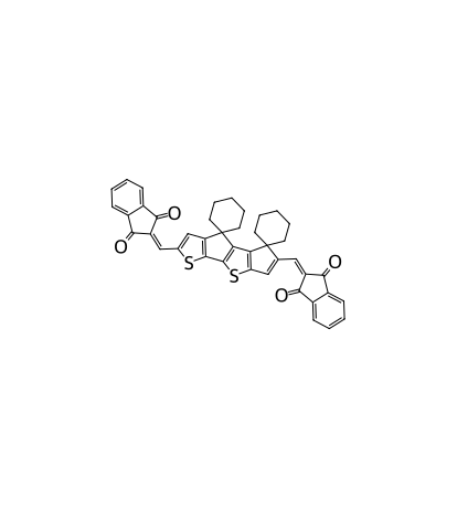 O=C1C(=CC2=Cc3sc4c(c3C23CCCCC3)C2(CCCCC2)c2cc(C=C3C(=O)c5ccccc5C3=O)sc2-4)C(=O)c2ccccc21